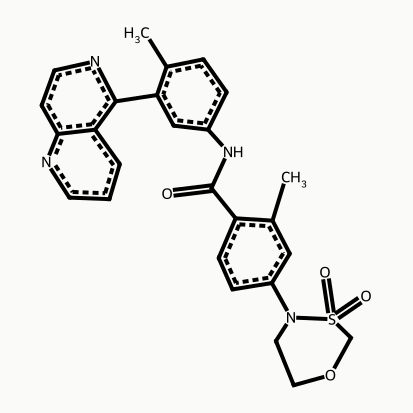 Cc1cc(N2CCOCS2(=O)=O)ccc1C(=O)Nc1ccc(C)c(-c2nccc3ncccc23)c1